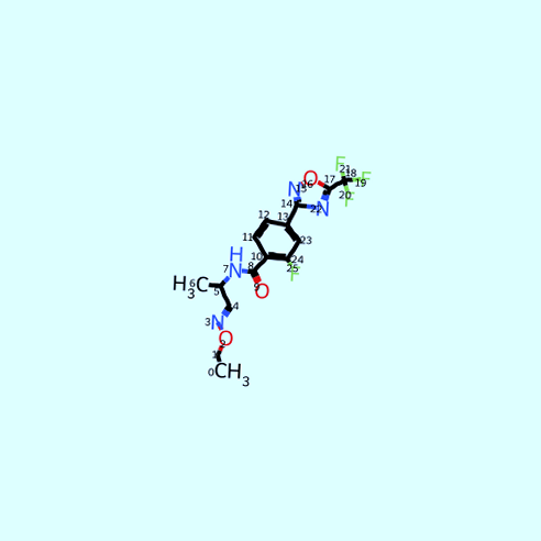 CCON=CC(C)NC(=O)c1ccc(-c2noc(C(F)(F)F)n2)cc1F